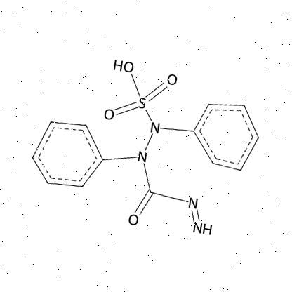 N=NC(=O)N(c1ccccc1)N(c1ccccc1)S(=O)(=O)O